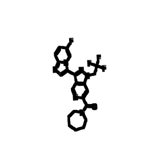 O=C(c1cc2c(cn1)c(-c1cnc3ccc(F)cn13)nn2CC(F)(F)F)N1CCCCCC1